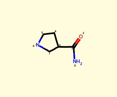 NC(=O)C1CC[N]C1